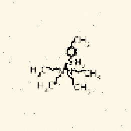 C=Cc1ccc([SiH2]CC(N(CCCC)CCCC)N(CCCC)CCCC)cc1